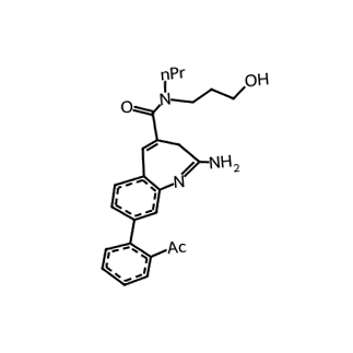 CCCN(CCCO)C(=O)C1=Cc2ccc(-c3ccccc3C(C)=O)cc2N=C(N)C1